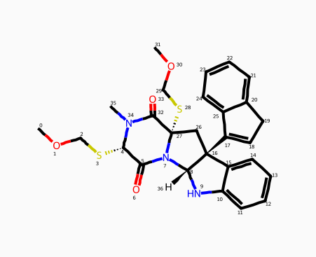 COCS[C@H]1C(=O)N2[C@H]3Nc4ccccc4[C@@]3(C3=CCc4ccccc43)C[C@]2(SCOC)C(=O)N1C